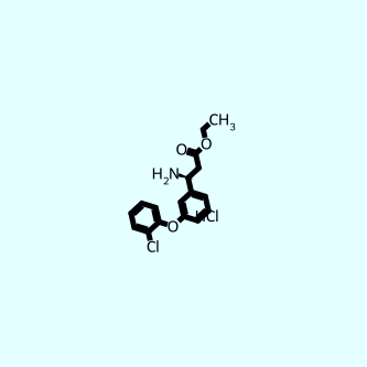 CCOC(=O)C[C@H](N)c1cccc(Oc2ccccc2Cl)c1.Cl